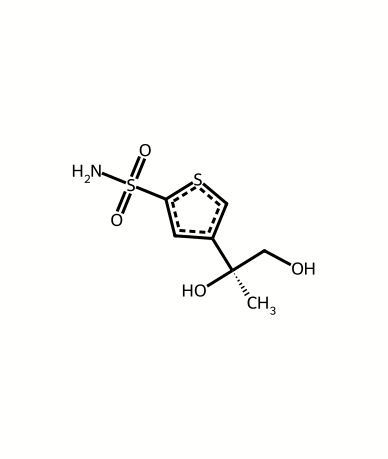 C[C@@](O)(CO)c1csc(S(N)(=O)=O)c1